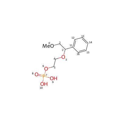 COCC(OCCOP(=O)(O)O)c1ccccc1